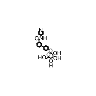 O=C(Nc1ccncc1)c1cccc(-c2ccc(OC3OC(CO)C(O)C(O)C3O)cc2)c1